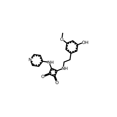 COc1cc(O)cc(CCNc2c(Nc3ccncc3)c(=O)c2=O)c1